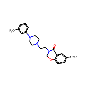 COc1ccc2c(c1)C(=O)N(CCN1CCN(c3cccc(C(F)(F)F)c3)CC1)CO2